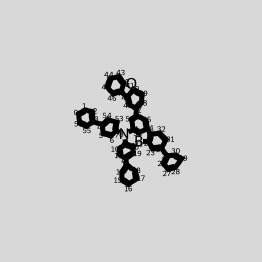 c1ccc(-c2ccc(N3c4ccc(-c5ccccc5)cc4B4c5cc(-c6ccccc6)ccc5-c5cc(-c6ccc7oc8ccccc8c7c6)cc3c54)cc2)cc1